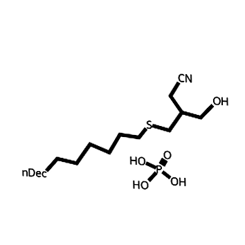 CCCCCCCCCCCCCCCCSCC(CO)CC#N.O=P(O)(O)O